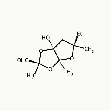 CC[C@]1(C)C[C@]2(O)O[C@](C)(C=O)O[C@]2(C)O1